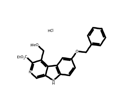 CCOC(=O)c1ncc2[nH]c3ccc(OCc4ccccc4)cc3c2c1COC.Cl